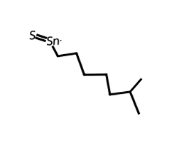 CC(C)CCCC[CH2][Sn]=[S]